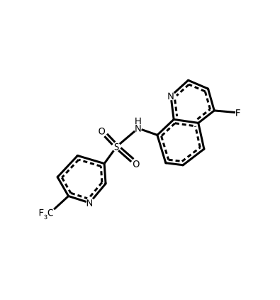 O=S(=O)(Nc1cccc2c(F)ccnc12)c1ccc(C(F)(F)F)nc1